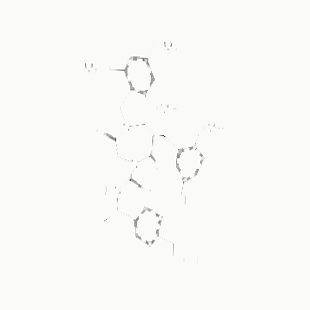 COc1cc(OC)c(CN2C[C@@H](Cc3cc(Cl)ccc3OC)C(=O)N(C(=O)N[C@H](C)c3ccc(CC(=O)O)cc3)CC2=O)c(OC)c1